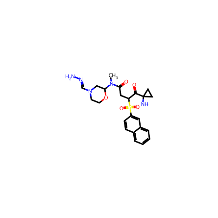 CN(C(=O)CC(C(=O)C1([NH])CC1)S(=O)(=O)c1ccc2ccccc2c1)C1CN(C=NN)CCO1